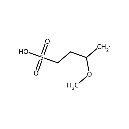 [CH2]C(CCS(=O)(=O)O)OC